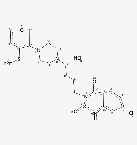 CCCSc1ccccc1N1CCN(CCCCn2c(=O)[nH]c3cc(Cl)ccc3c2=O)CC1.Cl